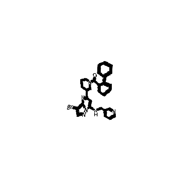 O=C(c1ccccc1-c1ccccc1)N1CCCC(c2cc(NCc3cccnc3)n3ncc(Br)c3n2)C1